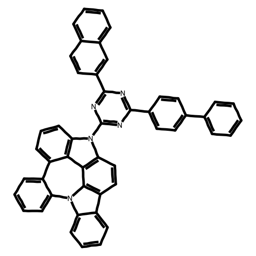 c1ccc(-c2ccc(-c3nc(-c4ccc5ccccc5c4)nc(-n4c5cccc6c7ccccc7n7c8ccccc8c8ccc4c(c65)c87)n3)cc2)cc1